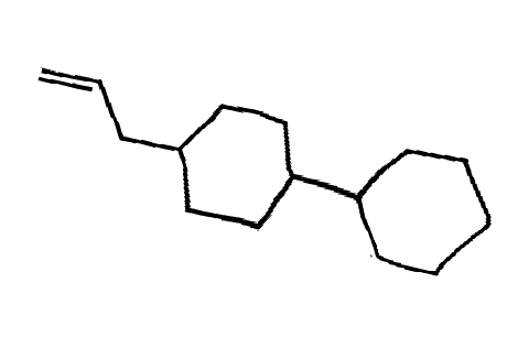 C=CCC1CCC(C2[CH]CCCC2)CC1